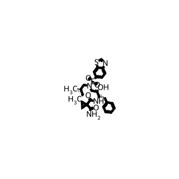 CC[C@H](C)CN(C[C@@H](O)[C@H](Cc1ccccc1)NC(=O)C1(C(N)=O)CC1)S(=O)(=O)c1ccc2ncsc2c1